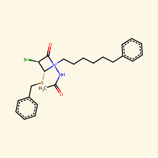 CC(=O)N[N+]1(CCCCCCc2ccccc2)C(=O)[C@H](Br)[C@H]1SCc1ccccc1